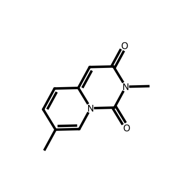 Cc1ccc2cc(=O)n(C)c(=O)n2c1